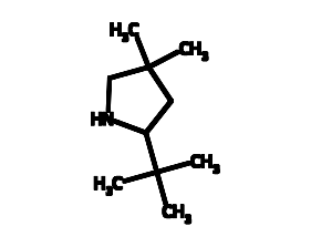 CC1(C)CNC(C(C)(C)C)C1